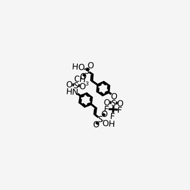 CS(=O)(=O)Nc1ccc(C=CS(=O)(=O)O)cc1.O=S(=O)(O)C=Cc1ccc(OS(=O)(=O)C(F)(F)F)cc1